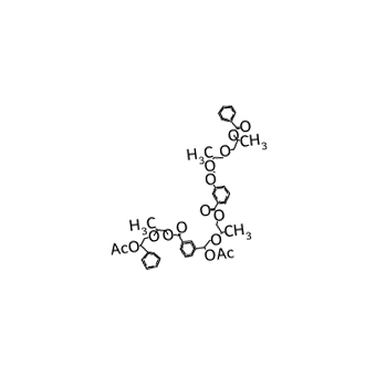 CC(=O)OC(COC(C)COC(=O)c1cccc(C(COC(C)COC(=O)c2cccc(OCOC(C)COCC(C)OC(=O)c3ccccc3)c2)OC(C)=O)c1)c1ccccc1